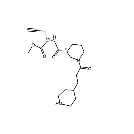 C#CC[C@H](NC(=O)[C@@H]1CCCN(C(=O)CCC2CCNCC2)C1)C(=O)OC